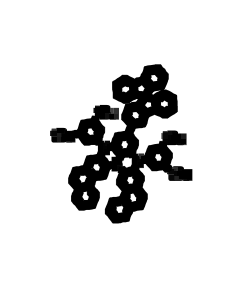 CC(C)(C)c1cc(N2c3cc4ccc5ccccc5c4cc3B3c4cc5c(ccc6ccccc65)cc4N(c4cc(C(C)(C)C)cc(C(C)(C)C)c4)c4cc(-c5ccc6c(c5)-c5ccccc5C65c6ccccc6-c6ccccc65)cc2c43)cc(C(C)(C)C)c1